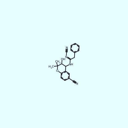 CC1(C)Oc2ccc(C#N)cc2C(NC(Cc2ccccc2)=NC#N)C1O